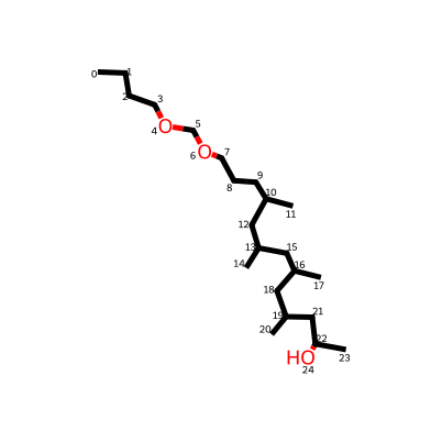 CCCCOCOCCCC(C)CC(C)CC(C)CC(C)CC(C)O